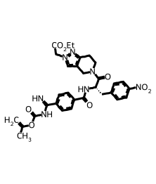 C=C(C)OC(=O)NC(=N)c1ccc(C(=O)N[C@@H](Cc2ccc([N+](=O)[O-])cc2)C(=O)N2CCc3nn(CC(=O)OCC)cc3C2)cc1